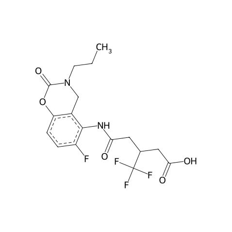 CCCN1Cc2c(ccc(F)c2NC(=O)CC(CC(=O)O)C(F)(F)F)OC1=O